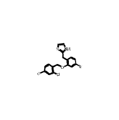 Clc1ccc(COc2cc(Br)ccc2Cc2ncc[nH]2)c(Cl)c1